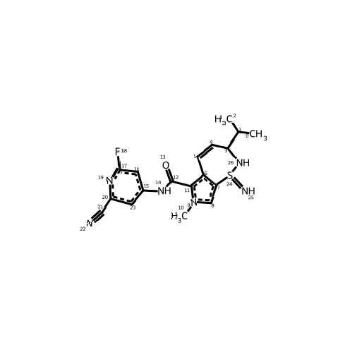 CC(C)C1C=Cc2c(cn(C)c2C(=O)Nc2cc(F)nc(C#N)c2)S(=N)N1